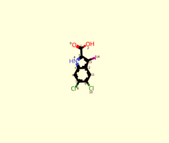 O=C(O)c1[nH]c2cc(Cl)c(Cl)cc2c1I